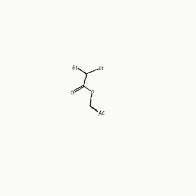 CCC(CC)C(=O)OCC(C)=O